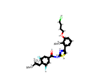 CO/C(=C/c1c(F)cc(C(=O)Nc2nc(-c3cccc(OCCCCCl)c3OC)cs2)cc1F)C(=O)O